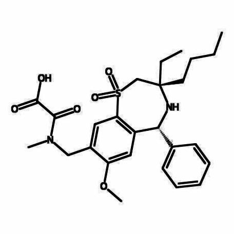 CCCC[C@]1(CC)CS(=O)(=O)c2cc(CN(C)C(=O)C(=O)O)c(OC)cc2[C@@H](c2ccccc2)N1